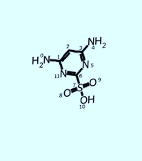 Nc1cc(N)nc(S(=O)(=O)O)n1